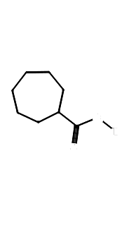 [CH2]COC(=O)C1CCCCCC1